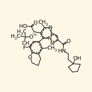 Cc1nc2cc(C(=O)NCCC3(O)CCCC3)nn2c(-c2cc(F)c3c(c2C)CCCO3)c1[C@H](OC(C)(C)C)C(=O)O